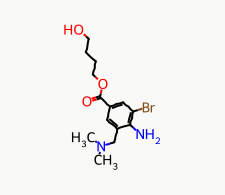 CN(C)Cc1cc(C(=O)OCCCCO)cc(Br)c1N